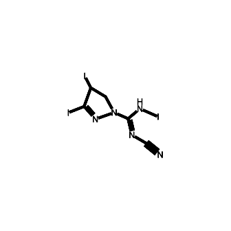 N#C/N=C(\NI)N1CC(I)C(I)=N1